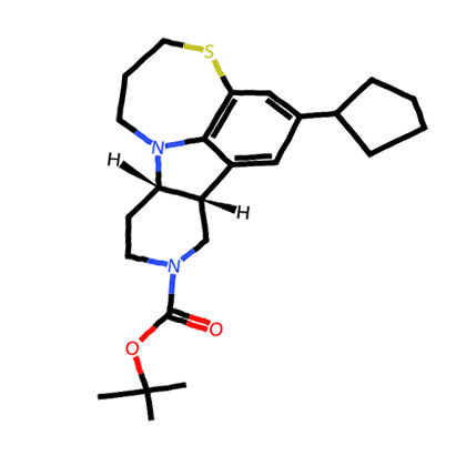 CC(C)(C)OC(=O)N1CC[C@H]2[C@@H](C1)c1cc(C3CCCC3)cc3c1N2CCCS3